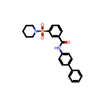 O=C(Nc1ccc(-c2ccccc2)cc1)c1cccc(S(=O)(=O)N2CCCCC2)c1